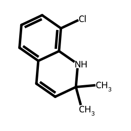 CC1(C)C=Cc2cccc(Cl)c2N1